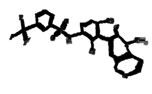 Cn1c(=O)c(-c2c(Cl)ccc(NS(=O)(=O)c3cccc(C(F)(F)F)c3)c2Cl)cc2cnccc21